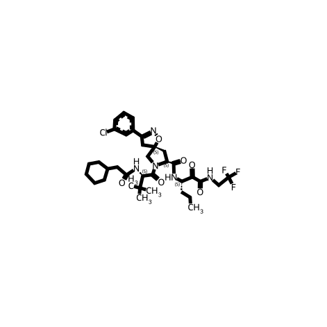 CCC[C@H](NC(=O)[C@@H]1C[C@]2(CC(c3cccc(Cl)c3)=NO2)CN1C(=O)[C@@H](NC(=O)CC1CCCCC1)C(C)(C)C)C(=O)C(=O)NCC(F)(F)F